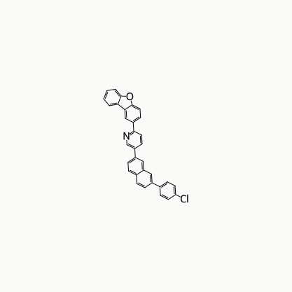 Clc1ccc(-c2ccc3ccc(-c4ccc(-c5ccc6oc7ccccc7c6c5)nc4)cc3c2)cc1